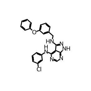 Clc1cccc(Nc2ncnc3[nH]nc(NCc4cccc(Oc5ccccc5)c4)c23)c1